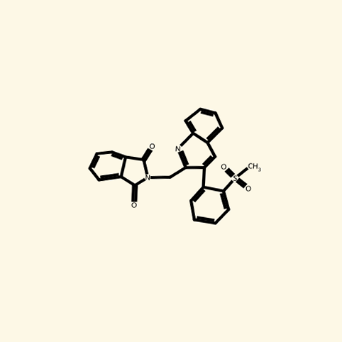 CS(=O)(=O)c1ccccc1-c1cc2ccccc2nc1CN1C(=O)c2ccccc2C1=O